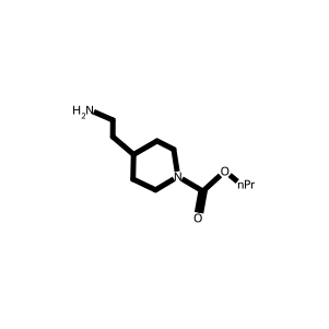 CCCOC(=O)N1CCC(CCN)CC1